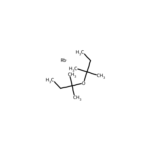 CCC(C)(C)OC(C)(C)CC.[Rb]